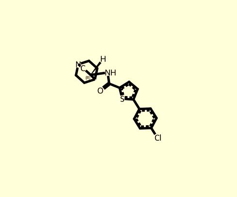 O=C(N[C@H]1CN2CCC1CC2)c1ccc(-c2ccc(Cl)cc2)s1